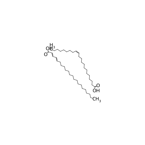 CCCCCCCC/C=C\CCCCCCCCCCCC(=O)O.CCCCCCCCCCCCCCCCCC=CC=CC(=O)O